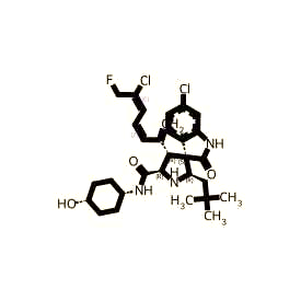 C=C(/C=C\C=C(\Cl)CF)[C@H]1[C@H](C(=O)N[C@H]2CC[C@@H](O)CC2)N[C@H](CC(C)(C)C)[C@]12C(=O)Nc1cc(Cl)ccc12